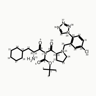 CC(C)(C)OC(=O)N(C(=O)[C@H](N)CC1CCCCC1)C(=O)[C@@H]1CCCN1Cc1cc(Cl)ccc1-n1cnnn1